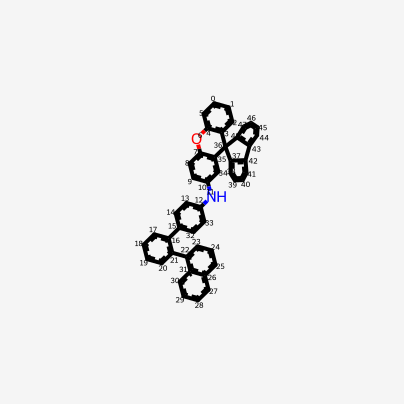 c1ccc2c(c1)Oc1ccc(Nc3ccc(-c4ccccc4-c4cccc5ccccc45)cc3)cc1C21c2ccccc2-c2ccccc21